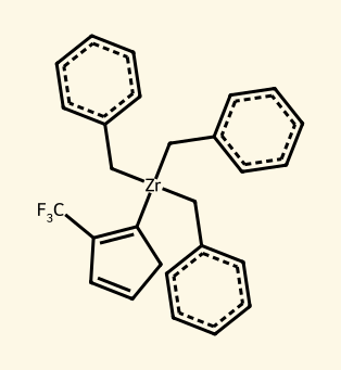 FC(F)(F)C1=[C]([Zr]([CH2]c2ccccc2)([CH2]c2ccccc2)[CH2]c2ccccc2)CC=C1